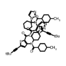 CC1CCC(C(=O)N(c2cc(C#CC(C)(C)C)sc2C(=O)OC(=O)c2sc(C#CC(C)(C)C)cc2N(C(=O)C2CCC(C)CC2)C2(n3ccnn3)CCCCC2)C2CCC(n3ccnn3)CC2)CC1